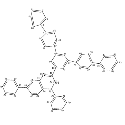 c1ccc(-c2ccc(-c3cc(C4=Nc5cc(-c6ccccc6)ccc5C(c5ccccc5)N4)cc(-c4ccc(-c5ccccc5)nc4)c3)cc2)cc1